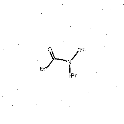 CCC(=O)N(C(C)C)C(C)C